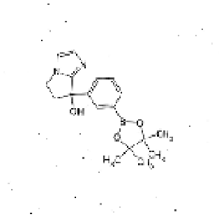 CC1(C)OB(c2cccc(C3(O)CCn4ccnc43)c2)OC1(C)C